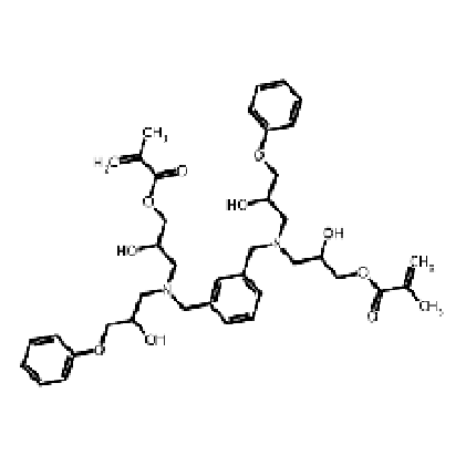 C=C(C)C(=O)OCC(O)CN(Cc1cccc(CN(CC(O)COC(=O)C(=C)C)CC(O)COc2ccccc2)c1)CC(O)COc1ccccc1